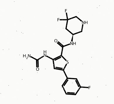 NC(=O)Nc1cc(-c2cccc(F)c2)sc1C(=O)N[C@@H]1CNCC(F)(F)C1